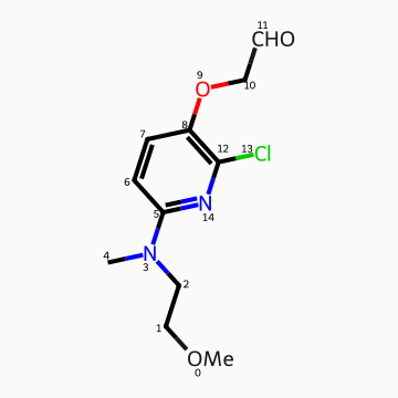 COCCN(C)c1ccc(OCC=O)c(Cl)n1